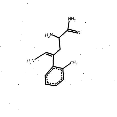 Cc1ccccc1/C(=C\N)CC(N)C(N)=O